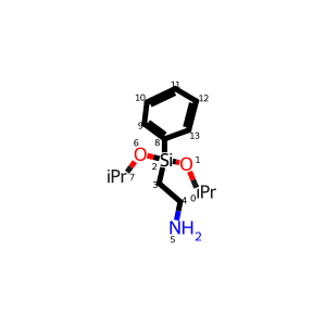 CC(C)O[Si](CCN)(OC(C)C)c1ccccc1